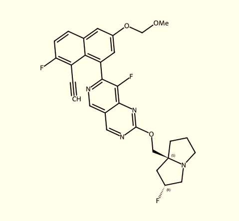 C#Cc1c(F)ccc2cc(OCOC)cc(-c3ncc4cnc(OC[C@@]56CCCN5C[C@H](F)C6)nc4c3F)c12